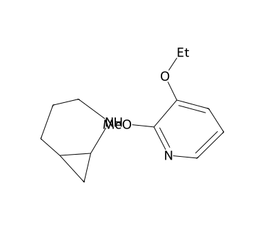 C1CNC2CC2C1.CCOc1cccnc1OC